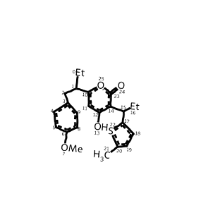 CCC(Cc1ccc(OC)cc1)c1cc(O)c(C(CC)c2ccc(C)s2)c(=O)o1